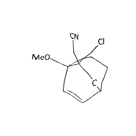 COC12C=CC(CC1)CC2(Cl)C#N